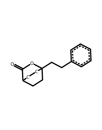 O=C1OC2(CCc3ccccc3)CCC1CC2